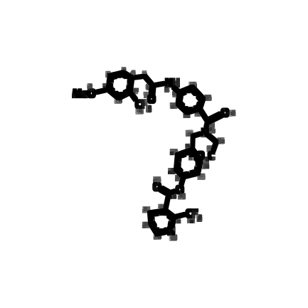 COc1ccc(CC(=O)Nc2ccc(C(=O)N(CC(=O)O)Cc3ccc(OC(=O)c4cccnc4C(F)(F)F)cc3)cc2)c(C(F)(F)F)c1